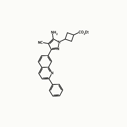 CCOC(=O)C1CC(n2nc(-c3ccc4ccc(-c5ccccc5)nc4c3)c(C#N)c2N)C1